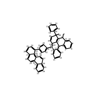 CC1C2=C3C(C)(c4ccccc41)c1ccccc1N(c1ccc(-c4cccc5ccc6c7ccccc7ccc6c45)cc1)C3(C)C=CC2(C)c1ccccc1